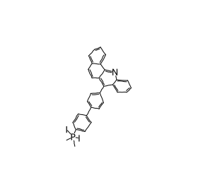 CP(C)(I)(I)c1ccc(-c2ccc(-c3c4ccccc4nc4c3ccc3ccccc34)cc2)cc1